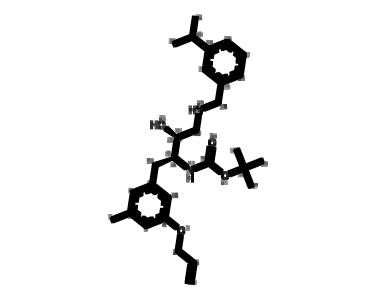 C=CCOc1cc(C)cc(C[C@H](NC(=O)OC(C)(C)C)[C@@H](O)CNCc2cccc(C(C)C)c2)c1